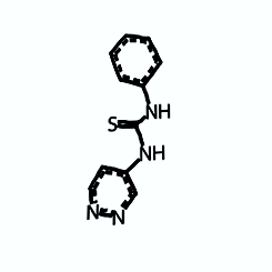 S=C(Nc1ccccc1)Nc1ccnnc1